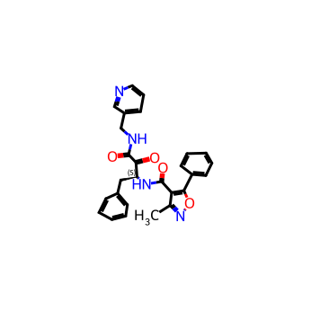 Cc1noc(-c2ccccc2)c1C(=O)N[C@@H](Cc1ccccc1)C(=O)C(=O)NCc1cccnc1